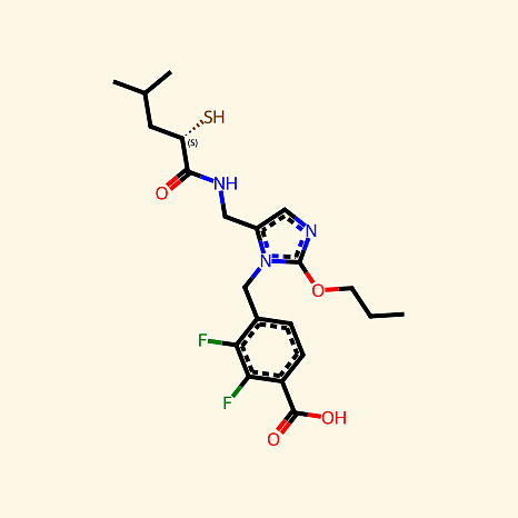 CCCOc1ncc(CNC(=O)[C@@H](S)CC(C)C)n1Cc1ccc(C(=O)O)c(F)c1F